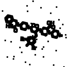 Cc1c(Br)cc(CC(CC(=O)N2CCC(N3Cc4ccccc4NC3=O)CC2)C(=O)N2CCN(C3CCN(C)CC3)C(C(=O)O)C2)cc1Br